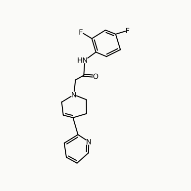 O=C(CN1CC=C(c2ccccn2)CC1)Nc1ccc(F)cc1F